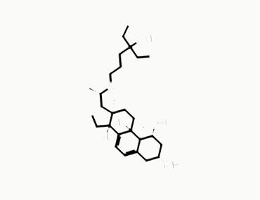 CCC(O)(CC)CCCS[C@H](C)[C@H]1CC[C@H]2C3=CC=C4C[C@@H](O)C[C@H](O)[C@]4(C)[C@H]3CC[C@]12C